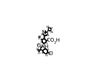 O=C(O)c1cc(NC(=O)C2(c3ccc(Cl)cc3)CC2)cc(F)c1-c1cnn(C2CCC2)c1